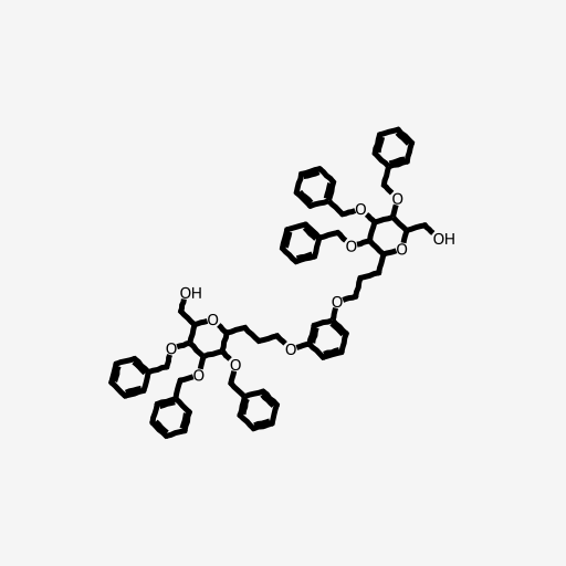 OCC1OC(CCCOc2cccc(OCCCC3OC(CO)C(OCc4ccccc4)C(OCc4ccccc4)C3OCc3ccccc3)c2)C(OCc2ccccc2)C(OCc2ccccc2)C1OCc1ccccc1